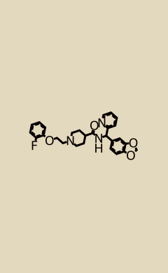 O=C(NC(c1ccc2c(c1)OCO2)c1ccccn1)C1CCN(CCOc2ccccc2F)CC1